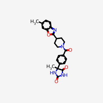 Cc1ccc2nc(C3CCN(C(=O)c4ccc(C5(C)NC(=O)NC5=O)cc4)CC3)oc2c1